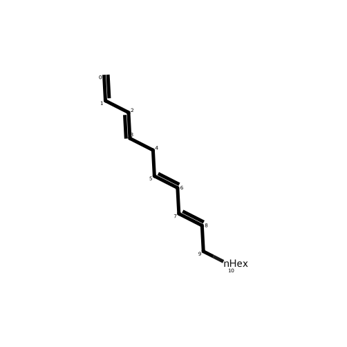 C=C/C=C/C/C=C/C=C/CCCCCCC